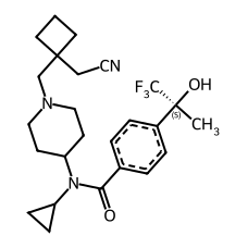 C[C@](O)(c1ccc(C(=O)N(C2CC2)C2CCN(CC3(CC#N)CCC3)CC2)cc1)C(F)(F)F